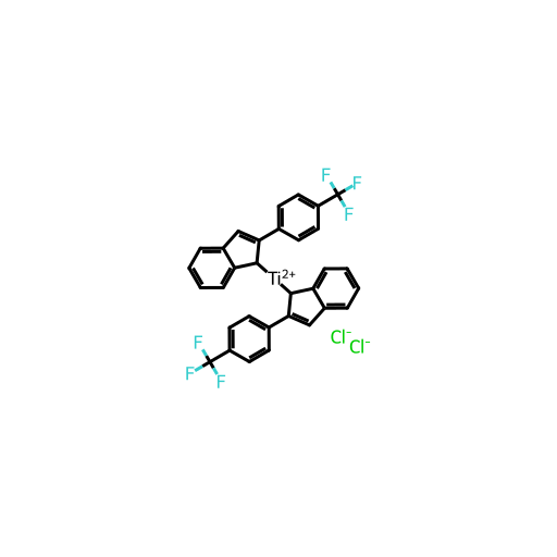 FC(F)(F)c1ccc(C2=Cc3ccccc3[CH]2[Ti+2][CH]2C(c3ccc(C(F)(F)F)cc3)=Cc3ccccc32)cc1.[Cl-].[Cl-]